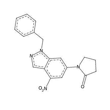 O=C1CCCN1c1cc([N+](=O)[O-])c2cnn(Cc3ccccc3)c2c1